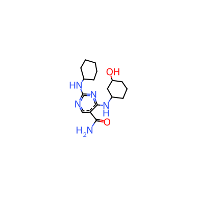 NC(=O)c1cnc(NC2CCCCC2)nc1NC1CCCC(O)C1